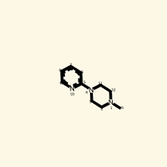 CN1CCN(c2ccc[c]n2)CC1